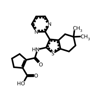 CC1(C)CCc2sc(NC(=O)C3=C(C(=O)O)CCC3)c(-c3ncccn3)c2C1